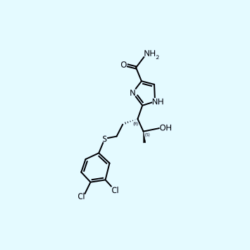 C[C@H](O)[C@H](CCSc1ccc(Cl)c(Cl)c1)c1nc(C(N)=O)c[nH]1